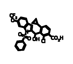 O=C(O)c1ccc(C2CC2)c(C(O)c2cc3ccc(OC(F)(F)F)cc3n2S(=O)(=O)c2ccccc2)c1Cl